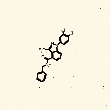 O=C(NCc1ccccc1)c1cccc2c1c(C(F)(F)F)nn2-c1ccc(Cl)c(Cl)c1